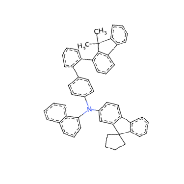 CC1(C)c2ccccc2-c2cccc(-c3ccccc3-c3ccc(N(c4ccc5c(c4)C4(CCCC4)c4ccccc4-5)c4cccc5ccccc45)cc3)c21